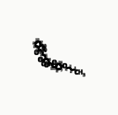 CCCCCOc1ccc2cc(C(=O)CC(CCn3nnc4ccccc4c3=O)C(=O)O)oc2c1